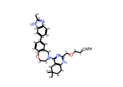 COCCOCc1nc2c(c(N3CCOc4ccc(-c5ccc6nc(C)[nH]c6c5)cc4C3)n1)CC(C)(C)CC2